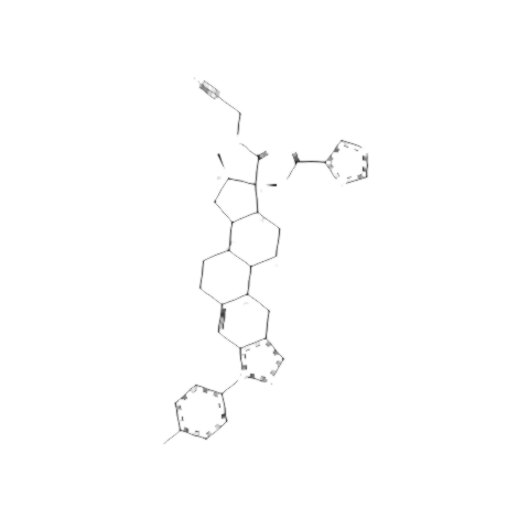 C[C@@H]1CC2[C@@H]3CCC4=Cc5c(cnn5-c5ccc(F)cc5)C[C@]4(C)C3[C@@H](O)C[C@]2(C)[C@@]1(OC(=O)c1cocn1)C(=O)SCC#N